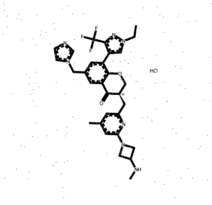 CCn1cc(-c2cc(Cn3ccnc3)cc3c2OC[C@@H](Cc2cc(C)cc(N4CC(NC)C4)n2)C3=O)c(C(F)(F)F)n1.Cl